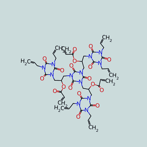 C=CCn1c(=O)n(CC=C)c(=O)n(CC(Cn2c(=O)n(CC(Cn3c(=O)n(CC=C)c(=O)n(CC=C)c3=O)OC(=O)C=C)c(=O)n(CC(Cn3c(=O)n(CC=C)c(=O)n(CC=C)c3=O)OC(=O)C=C)c2=O)OC(=O)C=C)c1=O